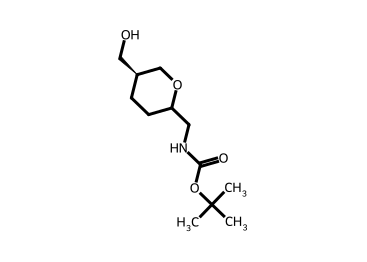 CC(C)(C)OC(=O)NCC1CC[C@@H](CO)CO1